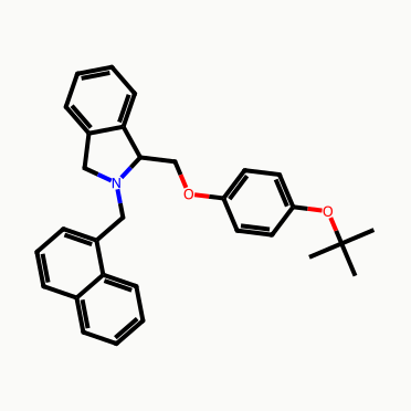 CC(C)(C)Oc1ccc(OCC2c3ccccc3CN2Cc2cccc3ccccc23)cc1